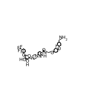 NCCc1ccc(Oc2ccc(OCCCNC(=O)c3ccc(N4CCN(C[C@H]5OC[C@H](Oc6cccc(C(F)(F)F)n6)[C@@H](O)[C@H]5O)CC4)nn3)cc2)c(I)c1